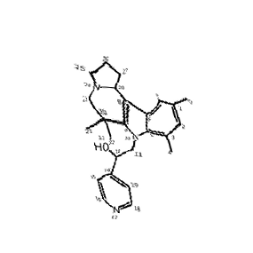 Cc1cc(C)c2c(c1)c1c(n2CC(O)c2ccncc2)C(C)(C)CN2CCCC12